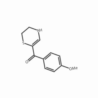 COc1ccc(C(=O)C2=CNCCS2)cc1